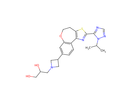 CC(C)n1ncnc1-c1nc2c(s1)CCOc1cc(C3CN(CC(O)CO)C3)ccc1-2